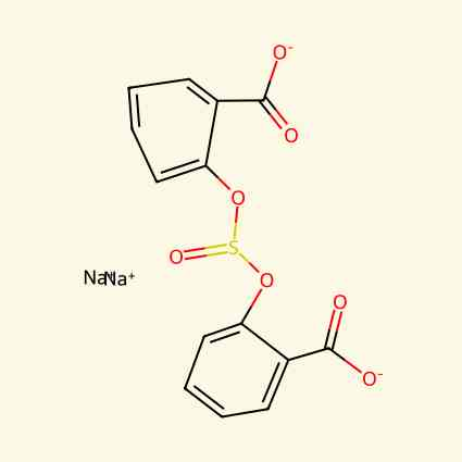 O=C([O-])c1ccccc1OS(=O)Oc1ccccc1C(=O)[O-].[Na+].[Na+]